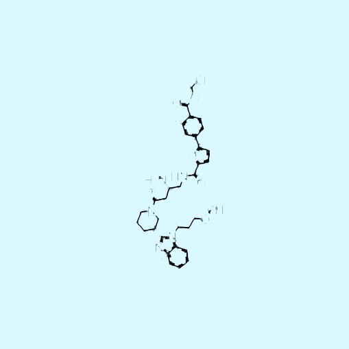 CCOC(=O)c1ccc(-c2ccc(C(=O)NC[C@@H](N)CC(=O)N3CCC[C@@H](c4nc5ccccc5n4CCCOC)C3)o2)cc1